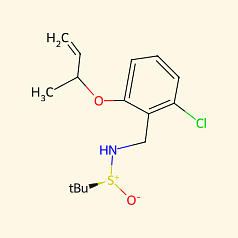 C=CC(C)Oc1cccc(Cl)c1CN[S@@+]([O-])C(C)(C)C